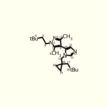 Cc1nn(CCC(C)(C)C)c(C)c1-c1cncn1CC1(CC(C)(C)C)CC1